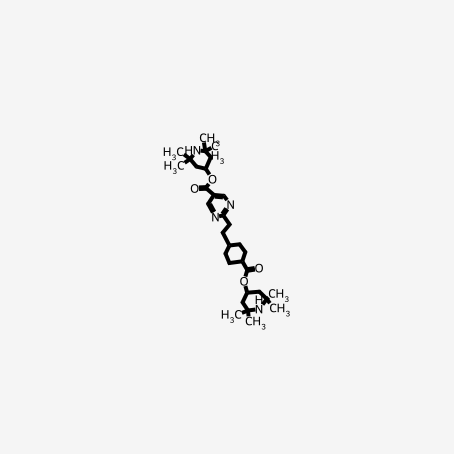 CC1(C)CC(OC(=O)c2cnc(CCC3CCC(C(=O)OC4CC(C)(C)NC(C)(C)C4)CC3)nc2)CC(C)(C)N1